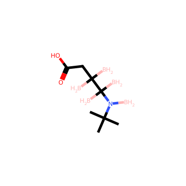 BN(C(C)(C)C)C(B)(B)C(B)(B)CC(=O)O